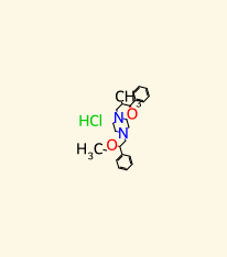 CCOC(CN1CCN(CC(C)C(=O)c2ccccc2)CC1)c1ccccc1.Cl